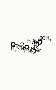 COc1ccc(CNc2nc(Nc3cccc(NC(=O)C(N)Cc4ccccc4)c3)ncc2Br)c(OC)c1